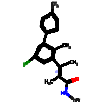 CCCNC(=O)/C(C)=C(\C)c1cc(F)cc(-c2ccc(C(F)(F)F)cc2)c1C